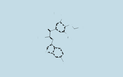 CCOc1c(OC)cc(C(=O)/C(C)=C/c2c[nH]c3cc(Cl)ccc23)cc1OC